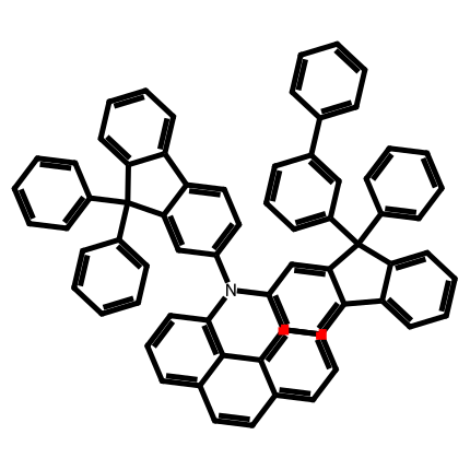 c1ccc(-c2cccc(C3(c4ccccc4)c4ccccc4-c4ccc(N(c5ccc6c(c5)C(c5ccccc5)(c5ccccc5)c5ccccc5-6)c5cccc6ccc7ccccc7c56)cc43)c2)cc1